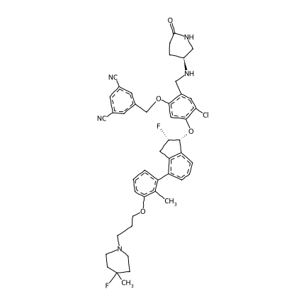 Cc1c(OCCCN2CCC(C)(F)CC2)cccc1-c1cccc2c1C[C@H](F)[C@@H]2Oc1cc(OCc2cc(C#N)cc(C#N)c2)c(CN[C@H]2CCC(=O)NC2)cc1Cl